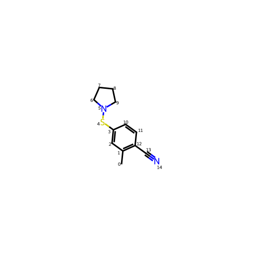 Cc1cc(SN2CCCC2)ccc1C#N